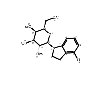 CC(=O)OC[C@H]1O[C@@H](N2CCc3c(Cl)cccc32)[C@H](OC(C)=O)[C@@H](OC(C)=O)[C@H]1OC(C)=O